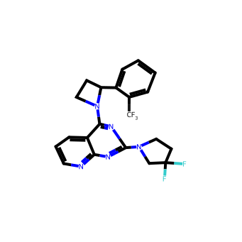 FC1(F)CCN(c2nc(N3CCC3c3ccccc3C(F)(F)F)c3cccnc3n2)C1